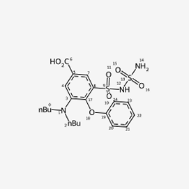 CCCCN(CCCC)c1cc(C(=O)O)cc(S(=O)(=O)NS(N)(=O)=O)c1Oc1ccccc1